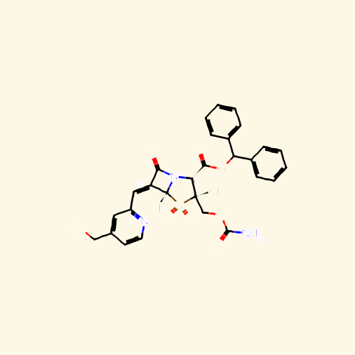 C[C@]1(COC(N)=O)[C@H](C(=O)OC(c2ccccc2)c2ccccc2)N2C(=O)/C(=C/c3cc(CO)ccn3)[C@H]2S1(=O)=O